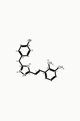 Cc1cccc(/C=C/c2nnc(Cc3ccc(Br)cc3)o2)c1C